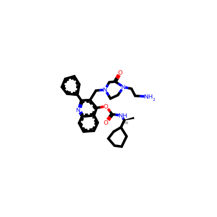 C[C@H](NC(=O)Oc1c(CN2CCN(CCN)C(=O)C2)c(-c2ccccc2)nc2ccccc12)C1CCCCC1